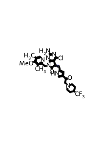 COc1c(C)cnc(CN2C(=O)/C(=C\c3cc(C(=O)CN4CCC(C(F)(F)F)CC4)c[nH]3)c3c(Cl)nc(N)nc32)c1C